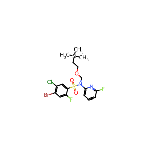 C[Si](C)(C)CCOCN(c1cccc(F)n1)S(=O)(=O)c1cc(Cl)c(Br)cc1F